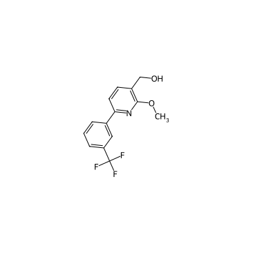 COc1nc(-c2cccc(C(F)(F)F)c2)ccc1CO